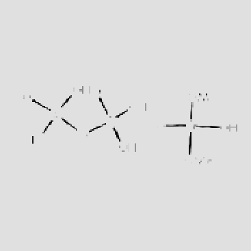 CO[Si](O)(O)OC.O[Si](O)(O)O[Si](O)(O)O